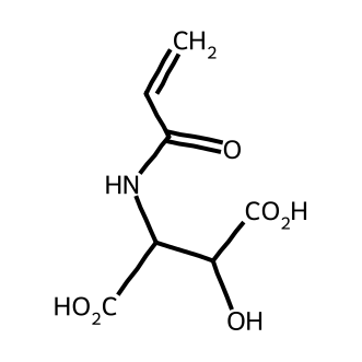 C=CC(=O)NC(C(=O)O)C(O)C(=O)O